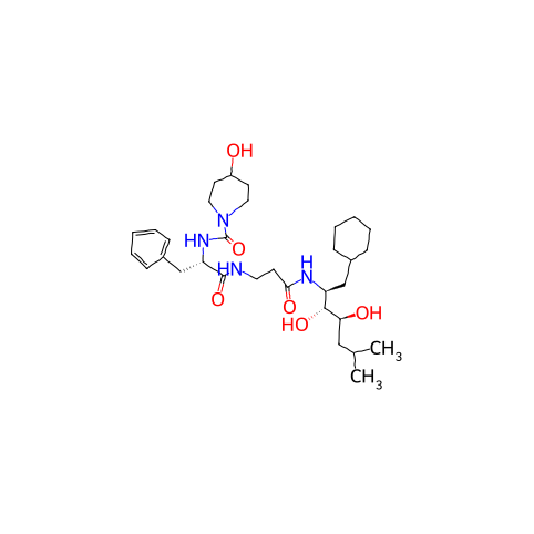 CC(C)C[C@H](O)[C@H](O)[C@H](CC1CCCCC1)NC(=O)CCNC(=O)[C@H](Cc1ccccc1)NC(=O)N1CCC(O)CC1